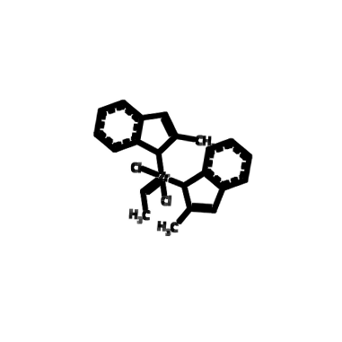 C[CH]=[Zr]([Cl])([Cl])([CH]1C(C)=Cc2ccccc21)[CH]1C(C)=Cc2ccccc21